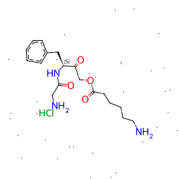 Cl.NCCCCCC(=O)OCC(=O)[C@H](Cc1ccccc1)NC(=O)CN